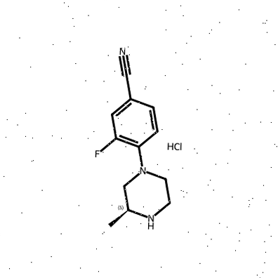 C[C@H]1CN(c2ccc(C#N)cc2F)CCN1.Cl